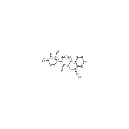 [N-]=[N+]=NCC(C(=O)N(N)C1=C(Cl)NC(Cl)C=C1)N(N)c1ccccc1